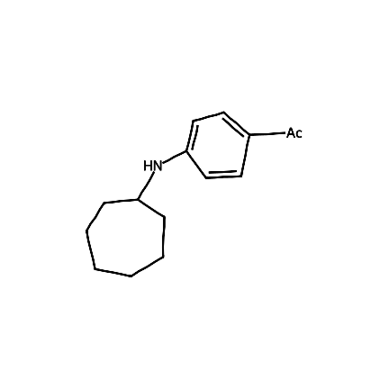 CC(=O)c1ccc(NC2CCCCCC2)cc1